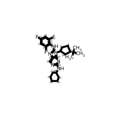 CC(C)(C)[C@@H]1CCC(n2c(Nc3c(F)cc(F)cc3F)nc3cnc(NC4CCCCC4)nc32)C1